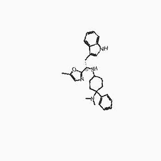 Cc1cnc([C@H](Cc2c[nH]c3ccccc23)NC2CCC(c3ccccc3)(N(C)C)CC2)o1